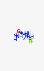 CNc1ccc(C(=O)N2CC(N3CC(=N)/C(=C\N=C(/C)Nc4ccc(C(F)(F)F)cc4)C3)C2)cc1N